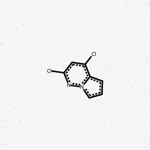 Clc1cc(Cl)c2cccn2n1